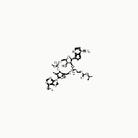 CSP1(=O)OCC2OC(n3ccc4c(N)ncnc43)C(OP(=O)(SCOC(=O)OC(C)C)OC[C@H]3O[C@@H](n4cnc5c(N)ncnc54)C(F)C3O1)C2O